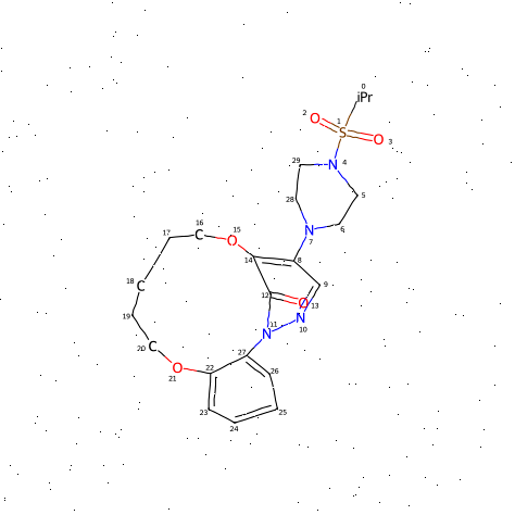 CC(C)S(=O)(=O)N1CCN(c2cnn3c(=O)c2OCCCCCOc2ccccc2-3)CC1